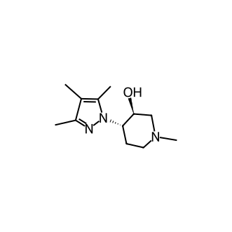 Cc1nn([C@H]2CCN(C)C[C@@H]2O)c(C)c1C